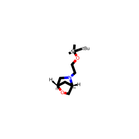 CC(C)(C)[Si](C)(C)OCCN1C[C@@H]2C[C@H]1CO2